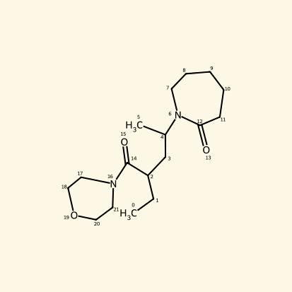 CCC(CC(C)N1CCCCCC1=O)C(=O)N1CCOCC1